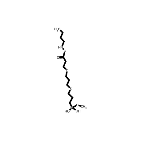 CCCCNOC(=O)CCOCCCSCCC[Si](O)(O)OC